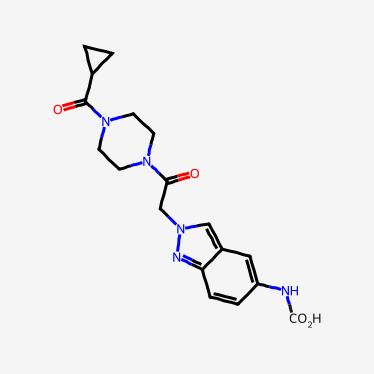 O=C(O)Nc1ccc2nn(CC(=O)N3CCN(C(=O)C4CC4)CC3)cc2c1